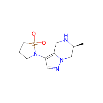 C[C@H]1Cn2ncc(N3CCCS3(=O)=O)c2CN1